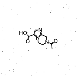 CC(=O)N1CCn2c(C(=O)O)cnc2C1